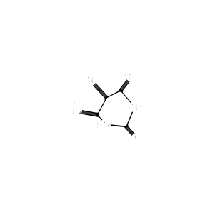 N=C1NC(=N)C(=N)C(=N)N1